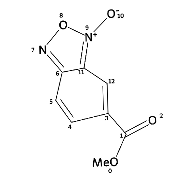 COC(=O)c1ccc2no[n+]([O-])c2c1